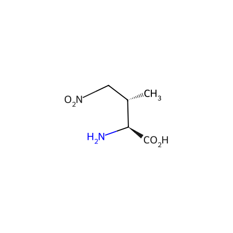 C[C@@H](C[N+](=O)[O-])[C@H](N)C(=O)O